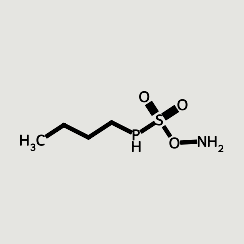 CCCCPS(=O)(=O)ON